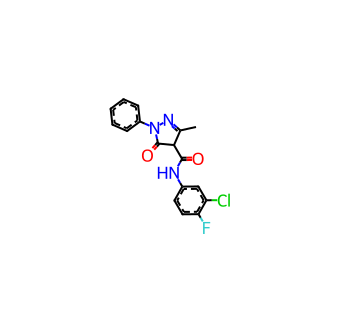 CC1=NN(c2ccccc2)C(=O)C1C(=O)Nc1ccc(F)c(Cl)c1